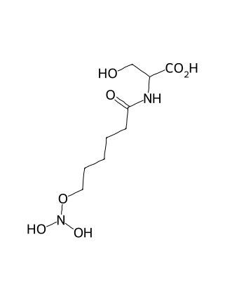 O=C(CCCCCON(O)O)NC(CO)C(=O)O